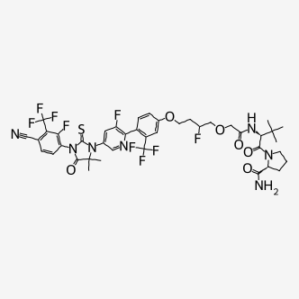 CC(C)(C)[C@H](NC(=O)COCC(F)CCOc1ccc(-c2ncc(N3C(=S)N(c4ccc(C#N)c(C(F)(F)F)c4F)C(=O)C3(C)C)cc2F)c(C(F)(F)F)c1)C(=O)N1CCC[C@H]1C(N)=O